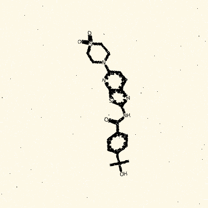 CC(C)(O)c1ccc(C(=O)Nc2nc3ccc(N4CCS(=O)(=O)CC4)nc3s2)cc1